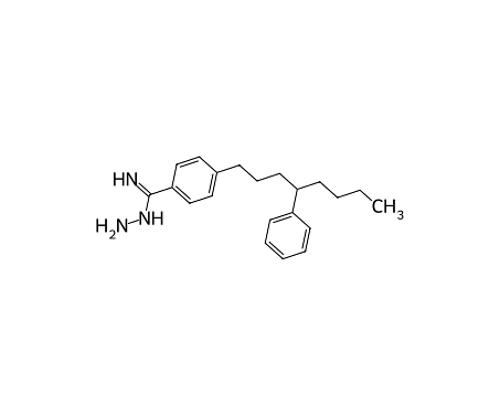 CCCCC(CCCc1ccc(C(=N)NN)cc1)c1ccccc1